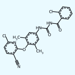 Cc1cc(NC(=O)NC(=O)c2ccccc2Cl)cc(C)c1Oc1nc(Cl)ccc1C#N